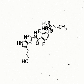 CCC[SH](=O)(P)Nc1ccc(F)c(C(=O)Nc2cnc3[nH]cc(CCCO)c3c2)c1F